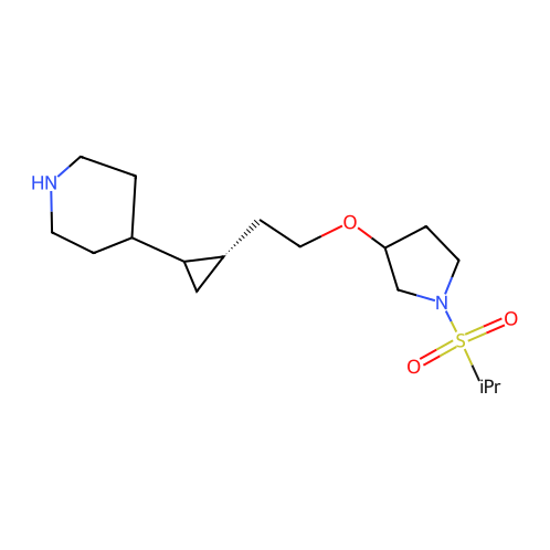 CC(C)S(=O)(=O)N1CCC(OCC[C@@H]2CC2C2CCNCC2)C1